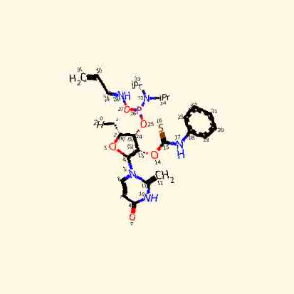 [2H]C[C@H]1OC(N2C=CC(=O)NC2=C)[C@@H](OC(=S)Nc2ccccc2)[C@H]1OP(ONCC=C)N(C(C)C)C(C)C